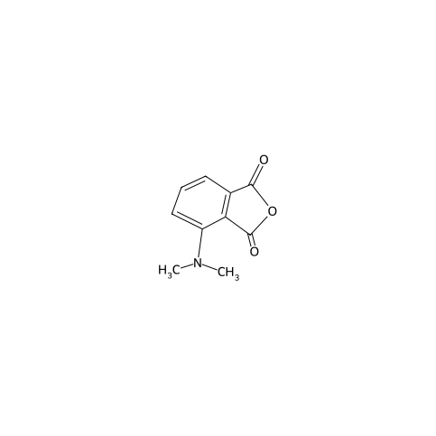 CN(C)c1cccc2c1C(=O)OC2=O